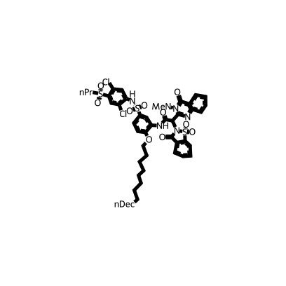 CCCCCCCCCCCCCCCCCCOc1ccc(S(=O)(=O)Nc2cc(Cl)c(S(=O)(=O)CCC)cc2Cl)cc1NC(=O)C(c1nc2ccccc2c(=O)n1NC)N1C(=O)c2ccccc2S1(=O)=O